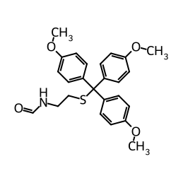 COc1ccc(C(SCCNC=O)(c2ccc(OC)cc2)c2ccc(OC)cc2)cc1